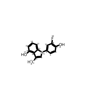 Cc1cn(-c2ccc(O)c(F)c2)c2cccc(O)c12